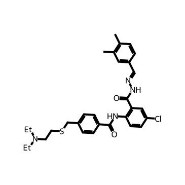 CCN(CC)CCSCc1ccc(C(=O)Nc2ccc(Cl)cc2C(=O)N/N=C/c2ccc(C)c(C)c2)cc1